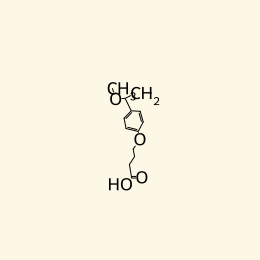 [CH2]C(OC)c1ccc(OCCCC(=O)O)cc1